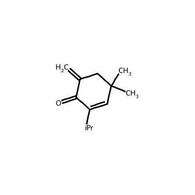 C=C1CC(C)(C)C=C(C(C)C)C1=O